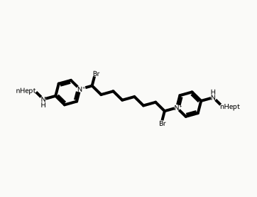 CCCCCCCNc1cc[n+](C(Br)CCCCCCC(Br)[n+]2ccc(NCCCCCCC)cc2)cc1